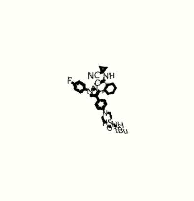 CC(C)(C)N[SH]1(=O)CCN(c2ccc(-c3cn(-c4ccc(F)cc4)nc3[C@@H]3CCCC[C@H]3C(=O)NC3(C#N)CC3)cc2)CC1